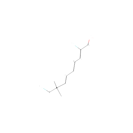 CC(C)(CF)CCCCCC(F)CO